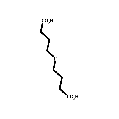 O=C(O)CCCOCCCC(=O)O